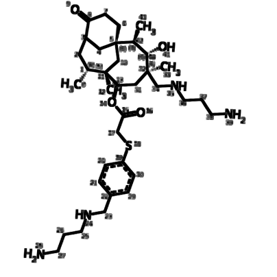 C[C@@H]1CC2C[C@@]3(CCC2=O)C[C@]1(C)[C@H](OC(=O)CSc1ccc(CNCCCN)cc1)C[C@](C)(CNCCCN)[C@@H](O)[C@@H]3C